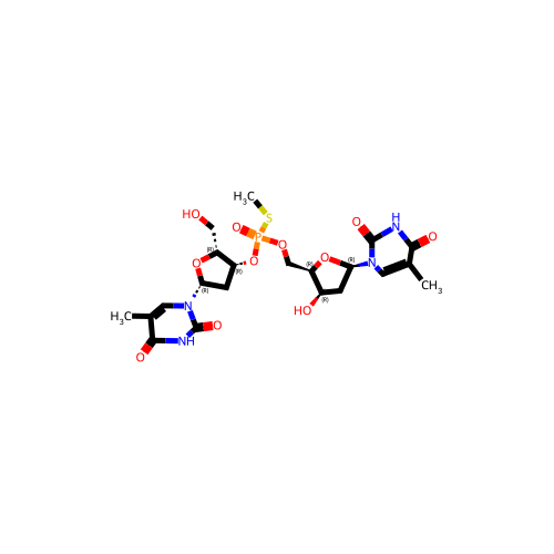 CSP(=O)(OC[C@H]1O[C@@H](n2cc(C)c(=O)[nH]c2=O)C[C@H]1O)O[C@@H]1C[C@H](n2cc(C)c(=O)[nH]c2=O)O[C@@H]1CO